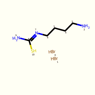 Br.Br.NCCCCN=C(N)S